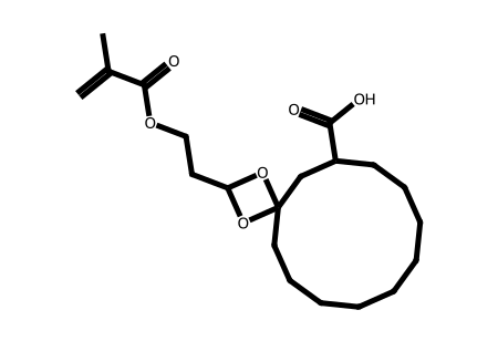 C=C(C)C(=O)OCCC1OC2(CCCCCCCCCC(C(=O)O)C2)O1